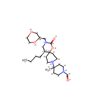 CCCC[C@H]1CN(C[C@@H]2COCCO2)C(=O)OC12CCN(C1(C)CCN(C=O)CC1)CC2